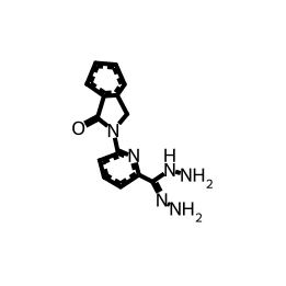 N/N=C(\NN)c1cccc(N2Cc3ccccc3C2=O)n1